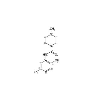 CN1CCN(C(=O)Nc2cc(Cl)ccc2O)CC1